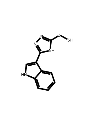 SSc1nnc(-c2c[nH]c3ccccc23)[nH]1